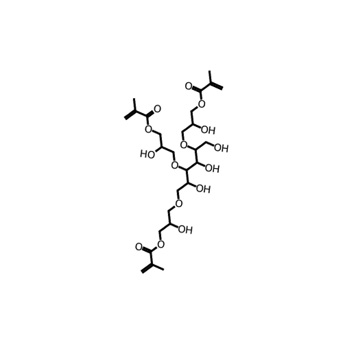 C=C(C)C(=O)OCC(O)COCC(O)C(OCC(O)COC(=O)C(=C)C)C(O)C(CO)OCC(O)COC(=O)C(=C)C